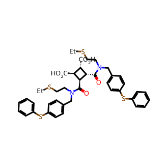 CCSCCN(Cc1ccc(Sc2ccccc2)cc1)C(=O)[C@H]1[C@@H](C(=O)O)[C@H](C(=O)O)[C@@H]1C(=O)N(CCSCC)Cc1ccc(Sc2ccccc2)cc1